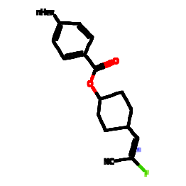 CCCCCCc1ccc(C(=O)OC2CCC(/C=C(/F)C#N)CC2)cc1